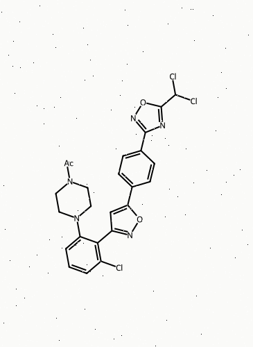 CC(=O)N1CCN(c2cccc(Cl)c2-c2cc(-c3ccc(-c4noc(C(Cl)Cl)n4)cc3)on2)CC1